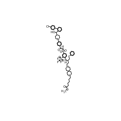 COC(=O)CCCCCN1CCC2(CC1)CCN(CCC(CSc1ccccc1)Nc1ccc(S(=O)(=O)NC(=O)c3ccc(N4CCC(C(O)c5ccccc5-c5ccc(Cl)cc5)CC4)cc3)cc1S(=O)(=O)C(F)(F)F)CC2